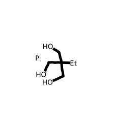 CCC(CO)(CO)CO.[P]